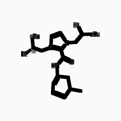 CCCCC(CC)Cn1cc[n+](C[C@H](CC)CCCC)c1C(=O)NC1=CC=CC(C)C1